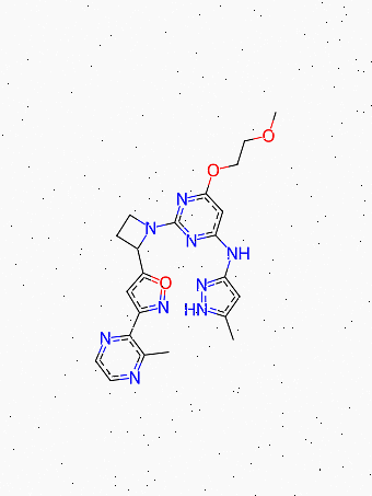 COCCOc1cc(Nc2cc(C)[nH]n2)nc(N2CCC2c2cc(-c3nccnc3C)no2)n1